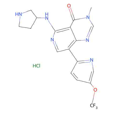 Cl.Cn1cnc2c(-c3ccc(OC(F)(F)F)cn3)cnc(NC3CCNC3)c2c1=O